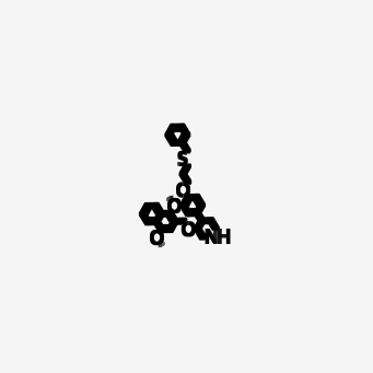 COc1cc(COC2CNCCC2c2ccc(OCCCSCc3ccccc3)cc2)c(OC)c2ccccc12